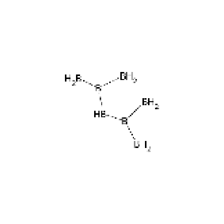 BB(B)BB(B)B